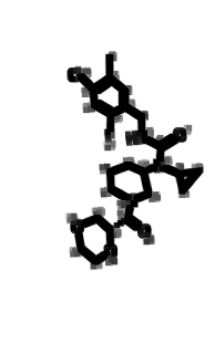 Cc1cc(CNC(=O)N(C2CC2)[C@@H]2CCCN(C(=O)[C@H]3COCCO3)C2)c(F)cc1Cl